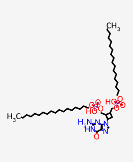 CCCCCCCCCCCCCCCCCCOP(=O)(O)OCC1CC(n2cnc3c(=O)[nH]c(N)nc32)C1COP(=O)(O)OCCCCCCCCCCCCCCCCCC